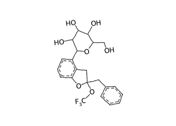 OCC1OC(c2cccc3c2CC(Cc2ccccc2)(OC(F)(F)F)O3)C(O)C(O)C1O